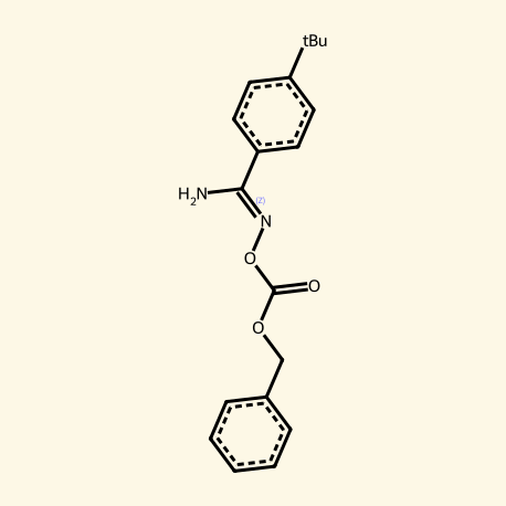 CC(C)(C)c1ccc(/C(N)=N/OC(=O)OCc2ccccc2)cc1